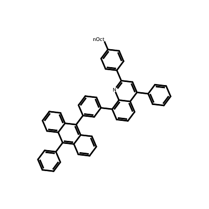 CCCCCCCCc1ccc(-c2cc(-c3ccccc3)c3cccc(-c4cccc(-c5c6ccccc6c(-c6ccccc6)c6ccccc56)c4)c3n2)cc1